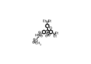 CCN(CC)c1ccc2c(-c3ccc(S(=O)(=O)NCCSS(C)(=O)=O)cc3S(=O)(=O)[O-])c3ccc(=[N+](CC)CC)cc-3oc2c1